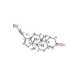 CCC#CC1=CC[C@H]2[C@@H]3CCC4=CC(=O)CC[C@@H]4[C@H]3CC[C@]12C